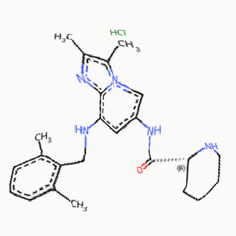 Cc1cccc(C)c1CNc1cc(NC(=O)[C@H]2CCCCN2)cn2c(C)c(C)nc12.Cl